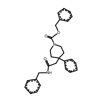 O=C(CC1(c2ccccc2)CCN(C(=O)OCc2ccccc2)CC1)NCc1ccccc1